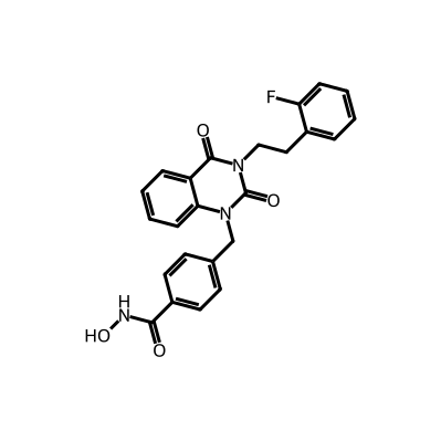 O=C(NO)c1ccc(Cn2c(=O)n(CCc3ccccc3F)c(=O)c3ccccc32)cc1